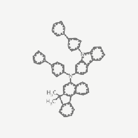 CC1(C)c2ccccc2-c2c1cc(N(c1ccc(-c3ccccc3)cc1)c1ccc3c4ccccc4n(-c4ccc(-c5ccccc5)cc4)c3c1)c1ccccc21